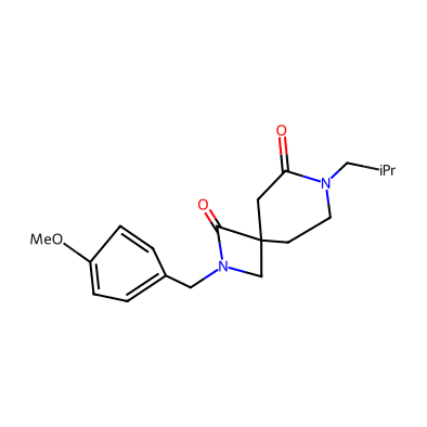 COc1ccc(CN2CC3(CCN(CC(C)C)C(=O)C3)C2=O)cc1